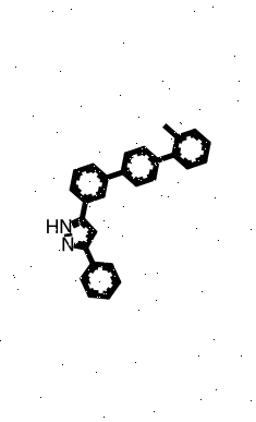 Cc1ccccc1-c1ccc(-c2cccc(-c3cc(-c4ccccc4)n[nH]3)c2)cc1